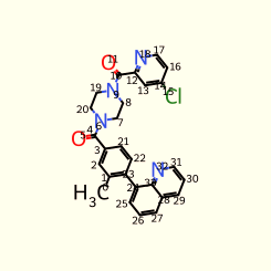 Cc1cc(C(=O)N2CCN(C(=O)c3cc(Cl)ccn3)CC2)ccc1-c1cccc2cccnc12